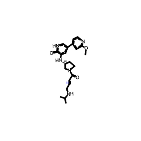 COc1cc(-c2c[nH]c(=O)c(N[C@@H]3CCN(C(=O)/C=C/CNC(C)C)C3)c2)ccn1